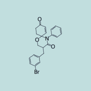 O=C1C=CC2(CC1)OCC(Cc1cccc(Br)c1)C(=O)N2c1ccccc1